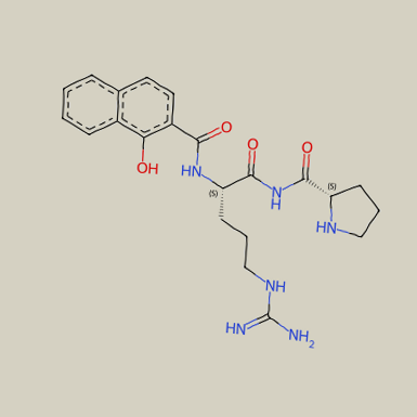 N=C(N)NCCC[C@H](NC(=O)c1ccc2ccccc2c1O)C(=O)NC(=O)[C@@H]1CCCN1